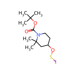 CC(C)(C)OC(=O)N1CCC(OSI)CC1(C)C